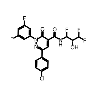 O=C(NC(F)[C@H](O)C(F)F)c1cc(-c2ccc(Cl)cc2)nn(-c2cc(F)cc(F)c2)c1=O